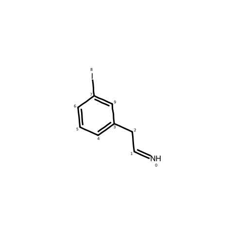 N=CCc1cccc(I)c1